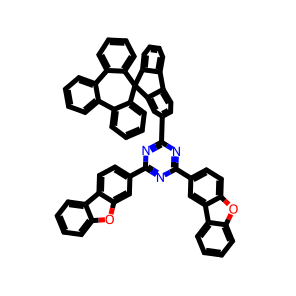 c1ccc2c(c1)-c1ccccc1C1(c3ccccc3-2)c2ccccc2-c2ccc(-c3nc(-c4ccc5c(c4)oc4ccccc45)nc(-c4ccc5oc6ccccc6c5c4)n3)cc21